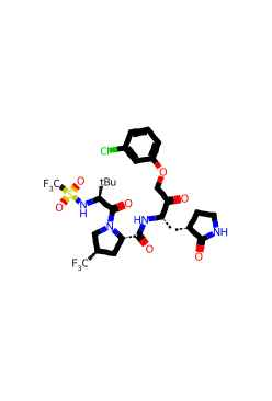 CC(C)(C)[C@H](NS(=O)(=O)C(F)(F)F)C(=O)N1C[C@H](C(F)(F)F)C[C@H]1C(=O)N[C@@H](C[C@@H]1CCNC1=O)C(=O)COc1cccc(Cl)c1